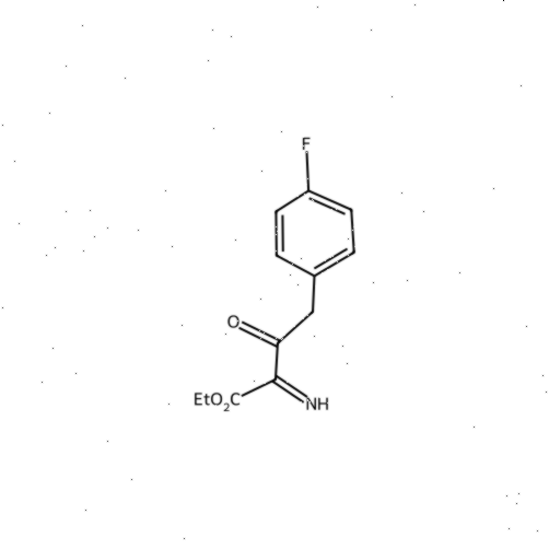 CCOC(=O)C(=N)C(=O)Cc1ccc(F)cc1